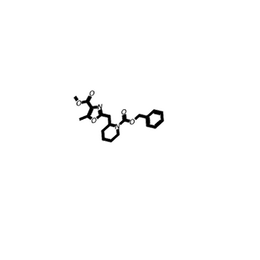 COC(=O)c1nc(CC2CCCCN2C(=O)OCc2ccccc2)oc1C